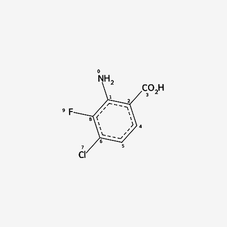 Nc1c(C(=O)O)ccc(Cl)c1F